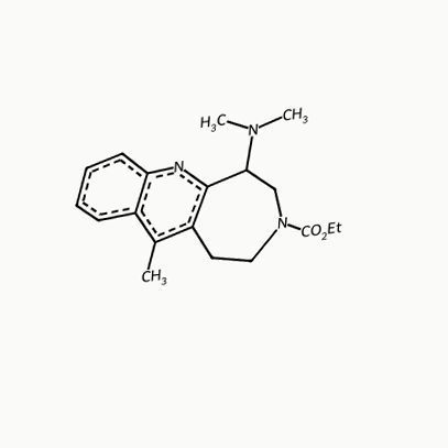 CCOC(=O)N1CCc2c(nc3ccccc3c2C)C(N(C)C)C1